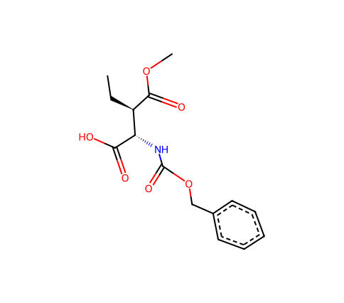 CC[C@@H](C(=O)OC)[C@H](NC(=O)OCc1ccccc1)C(=O)O